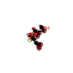 CCC1OC=CCC1(O[Si](C)(C)C)C(=O)c1c(Cl)cccc1Cl.COc1ccc(C(=O)C2(N3CCOCC3)CC=C(C)OC2C)cc1.Cc1ccc(C(=S)C2(N3CCOCC3)CC=COC2C)cc1.Cc1ccc(C2(O)CC=COC2)cc1